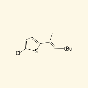 C/C(=C\C(C)(C)C)c1ccc(Cl)s1